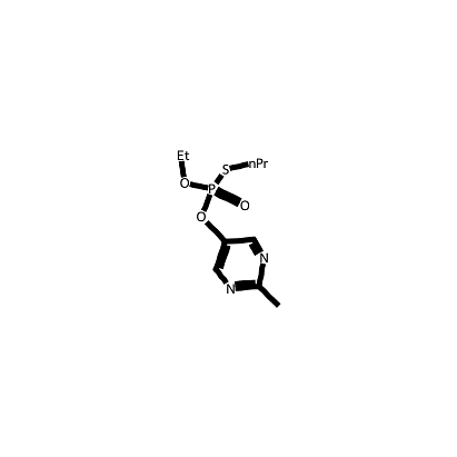 CCCSP(=O)(OCC)Oc1cnc(C)nc1